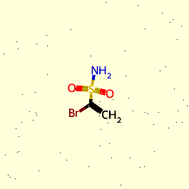 C=C(Br)S(N)(=O)=O